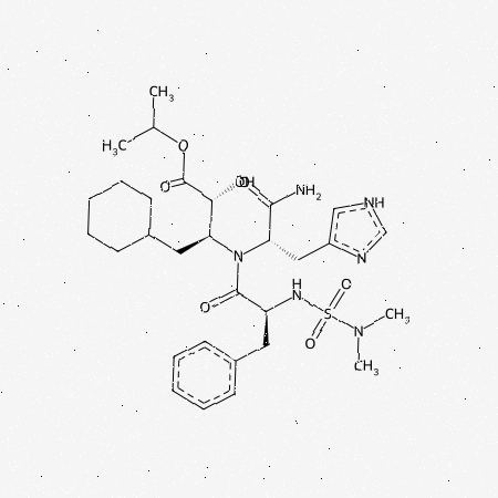 CC(C)OC(=O)[C@H](O)[C@H](CC1CCCCC1)N(C(=O)[C@H](Cc1ccccc1)NS(=O)(=O)N(C)C)[C@@H](Cc1c[nH]cn1)C(N)=O